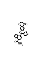 NC(=O)c1ccc([C@@H](Oc2ccc3c(c2)OCCC3=O)c2ccncc2)c2ccccc12